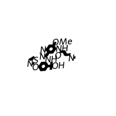 COc1cc2ncnc(Nc3cc(Oc4nccs4)ccc3C(C)(C)O)c2cc1NC(=O)C=CCN(C)C